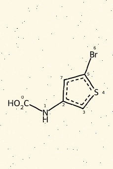 O=C(O)Nc1csc(Br)c1